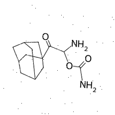 NC(=O)OC(N)C(=O)C12CC3CC(CC(C3)C1)C2